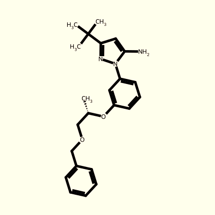 C[C@@H](COCc1ccccc1)Oc1cccc(-n2nc(C(C)(C)C)cc2N)c1